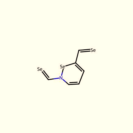 [Se]=CC1=CC=CN(C=[Se])[Se]1